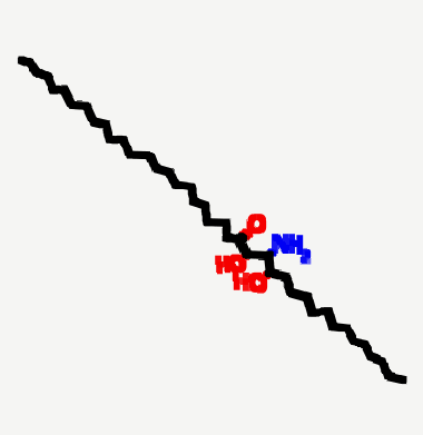 CCCCCCCCCCCCCCCCCCCCCCCC(=O)C(O)C(N)C(O)CCCCCCCCCCCCC